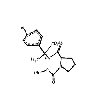 CCOC(=O)C(C)(NC(=O)C1CCCN1C(=O)OC(C)(C)C)c1ccc(Br)cc1